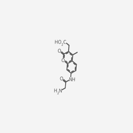 Cc1c(CC(=O)O)c(=O)oc2cc(NC(=O)CN)ccc12